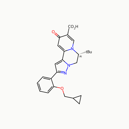 CC(C)(C)[C@@H]1Cn2nc(-c3ccccc3OCC3CC3)cc2-c2cc(=O)c(C(=O)O)cn21